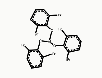 CC(C)c1cccc(C(C)C)c1[O][Al]([O]c1c(C(C)C)cccc1C(C)C)[O]c1c(C(C)C)cccc1C(C)C